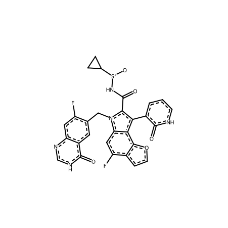 O=C(N[S+]([O-])C1CC1)c1c(-c2ccc[nH]c2=O)c2c3occc3c(F)cc2n1Cc1cc2c(=O)[nH]cnc2cc1F